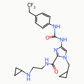 O=C(Nc1ccc(CC(F)(F)F)cc1)Nc1cn(CC2CC2)c(C(=O)NCCNC2CC2)n1